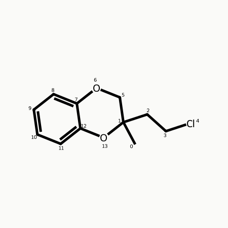 CC1(CCCl)COc2ccccc2O1